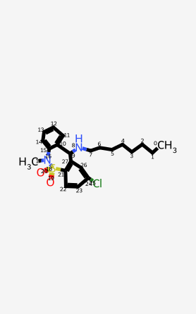 CCCCCCCCNC1c2ccccc2N(C)S(=O)(=O)c2ccc(Cl)cc21